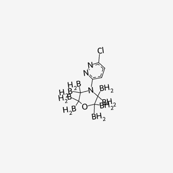 BC1(B)OC(B)(B)C(B)(B)N(c2ccc(Cl)nn2)C1(B)B